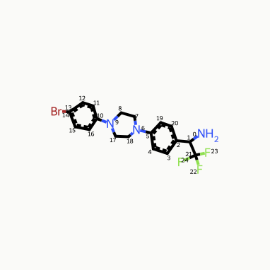 NC(c1ccc(N2CCN(c3ccc(Br)cc3)CC2)cc1)C(F)(F)F